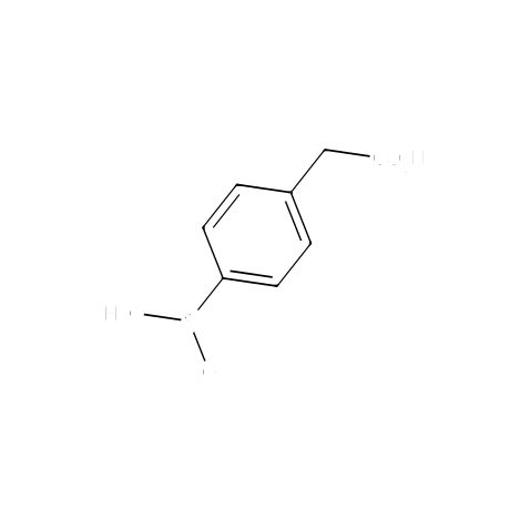 C[S+]([O-])c1ccc(CC(=O)O)cc1